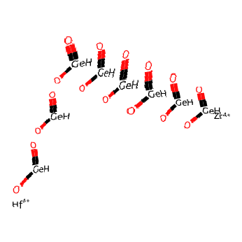 [Hf+4].[O]=[GeH][O-].[O]=[GeH][O-].[O]=[GeH][O-].[O]=[GeH][O-].[O]=[GeH][O-].[O]=[GeH][O-].[O]=[GeH][O-].[O]=[GeH][O-].[Zr+4]